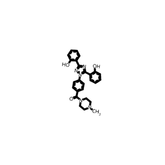 CN1CCN(C(=O)c2ccc(-n3nc(-c4ccccc4O)nc3-c3ccccc3O)cc2)CC1